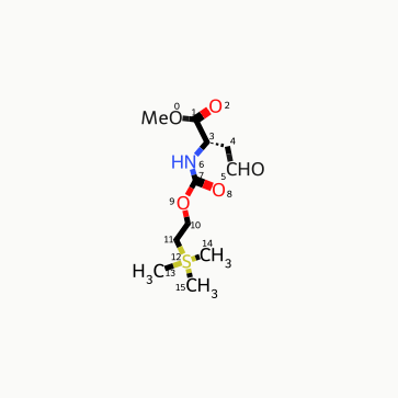 COC(=O)[C@H](CC=O)NC(=O)OCCS(C)(C)C